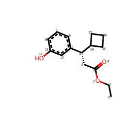 CCOC(=O)C[C@H](c1cccc(O)c1)C1CCC1